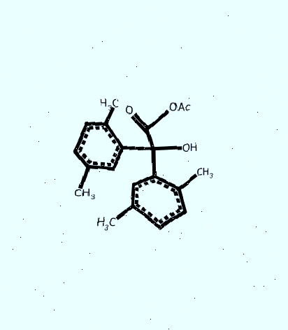 CC(=O)OC(=O)C(O)(c1cc(C)ccc1C)c1cc(C)ccc1C